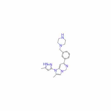 CC1=CN2CN=C(c3cccc(CN4CCNCC4)c3)C=C2N1c1cc(C)[nH]n1